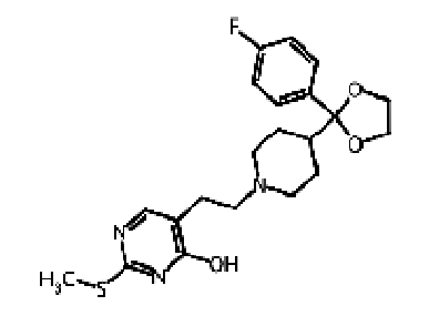 CSc1ncc(CCN2CCC(C3(c4ccc(F)cc4)OCCO3)CC2)c(O)n1